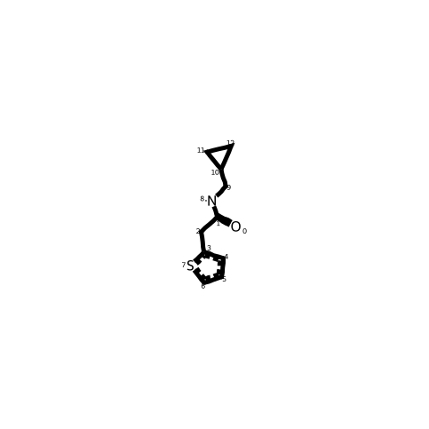 O=C(Cc1cccs1)[N]CC1CC1